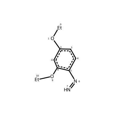 CCOc1ccc(N=N)c(OCC)c1